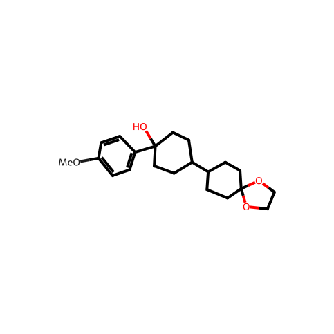 COc1ccc(C2(O)CCC(C3CCC4(CC3)OCCO4)CC2)cc1